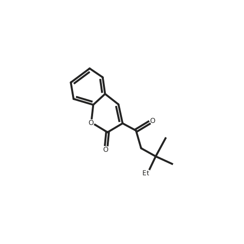 CCC(C)(C)CC(=O)c1cc2ccccc2oc1=O